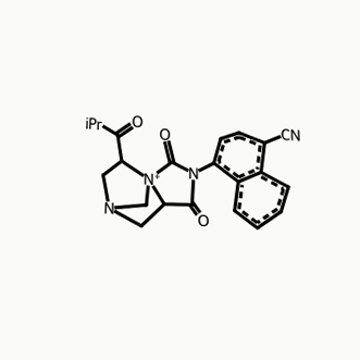 CC(C)C(=O)C1CN2CC3C(=O)N(c4ccc(C#N)c5ccccc45)C(=O)[N+]13C2